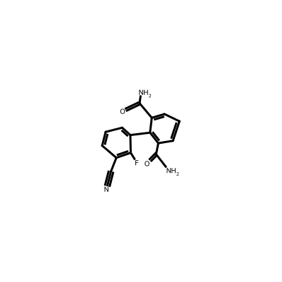 N#Cc1cccc(-c2c(C(N)=O)cccc2C(N)=O)c1F